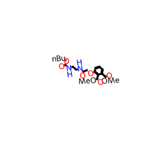 CCCCOC(=O)NCCNC(=O)COc1cccc(C(=O)OC)c1C(=O)OC